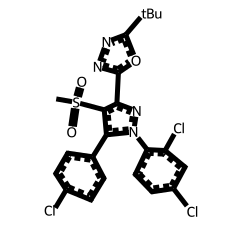 CC(C)(C)c1nnc(-c2nn(-c3ccc(Cl)cc3Cl)c(-c3ccc(Cl)cc3)c2S(C)(=O)=O)o1